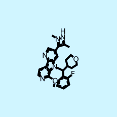 COc1nccc2c3ncc(-c4c(C)[nH]n4C)cc3n(C(c3ccccc3F)C3CCOCC3)c12